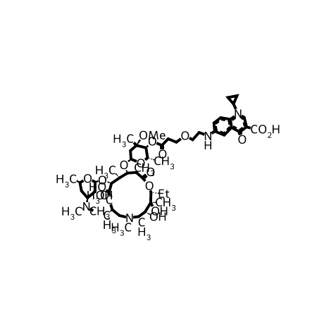 CC[C@H]1OC(=O)[C@H](C)[C@@H](O[C@H]2C[C@@](C)(OC)[C@@H](OC(=O)CCOCCNc3ccc4c(c3)c(=O)c(C(=O)O)cn4C3CC3)[C@H](C)O2)[C@@H](C)[C@@H](O[C@@H]2O[C@H](C)C[C@H](N(C)C)[C@H]2O)[C@](C)(O)C[C@@H](C)CN(C)[C@H](C)[C@@H](O)[C@]1(C)O